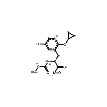 COC(=O)[C@H](Cc1cc(F)cnc1OC1CC1)NC(=O)OC(C)(C)C